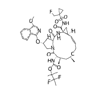 COc1cnc(O[C@@H]2C[C@H]3C(=O)N[C@]4(C(=O)NS(=O)(=O)C5(CF)CC5)C[C@H]4/C=C\CC[C@@H](C)C[C@@H](C)[C@H](NC(=O)OC(C)(C)C(C)(F)F)C(=O)N3C2)c2ccccc12